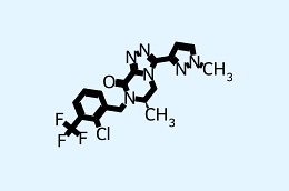 C[C@H]1Cn2c(nnc2-c2ccn(C)n2)C(=O)N1Cc1cccc(C(F)(F)F)c1Cl